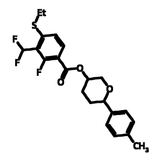 CCSc1ccc(C(=O)OC2CCC(c3ccc(C)cc3)OC2)c(F)c1C(F)F